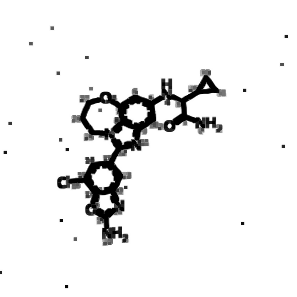 NC(=O)[C@@H](Nc1cc2c3c(c1)nc(-c1cc(Cl)c4oc(N)nc4c1)n3CCCO2)C1CC1